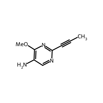 CC#Cc1ncc(N)c(OC)n1